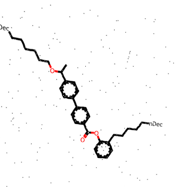 CCCCCCCCCCCCCCCCOC(C)c1ccc(-c2ccc(C(=O)Oc3ccccc3CCCCCCCCCCCCCCC)cc2)cc1